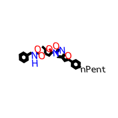 CCCCCc1ccc(-c2cc3cn(C4CC(OC(=O)NCc5ccccc5)C(C)O4)c(=O)nc3o2)cc1